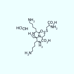 Cl.Cl.NCCCC[C@H](N)C(=O)N(C(=O)[C@@H](N)CCCCN)[C@@H](CSSC[C@H](N)C(=O)O)C(=O)O